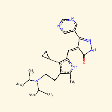 COC(C)N(CCc1c(C)[nH]c(C=C2C(=O)NN=C2c2cncnc2)c1C1CC1)C(C)OC